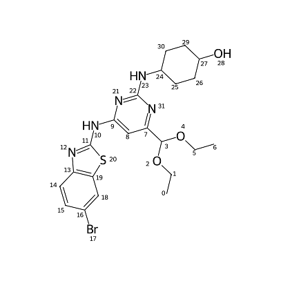 CCOC(OCC)c1cc(Nc2nc3ccc(Br)cc3s2)nc(NC2CCC(O)CC2)n1